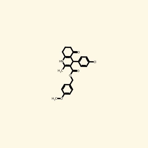 COc1ccc(COC(=O)C2=C(C)NC3=C(C(=O)CCC3)C2c2ccc(Cl)cc2)cc1